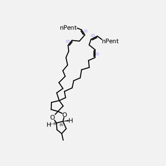 CCCCC/C=C\C/C=C\CCCCCCCCC1(CCCCCCCC/C=C\C/C=C\CCCCC)CCC2(C1)O[C@@H]1CC(C)C[C@H]1O2